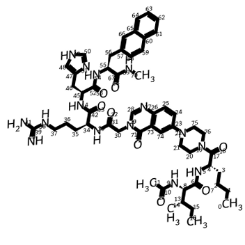 CCCC[C@H](NC(=O)[C@@H](NC(C)=O)[C@@H](C)CC)C(=O)N1CCN(c2ccc3ncn(CC(=O)N[C@@H](CCCNC(=N)N)C(=O)N[C@@H](Cc4c[nH]cn4)C(=O)N[C@@H](Cc4ccc5ccccc5c4)C(=O)NC)c(=O)c3c2)CC1